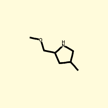 COCC1CC(C)CN1